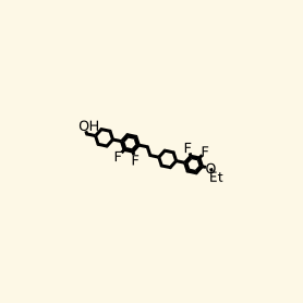 CCOc1ccc(C2CCC(CCc3ccc(C4CCC(CO)CC4)c(F)c3F)CC2)c(F)c1F